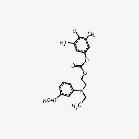 CCN(CCOC(=O)Oc1cc(C)c(Cl)c(C)c1)c1cccc(OC)c1